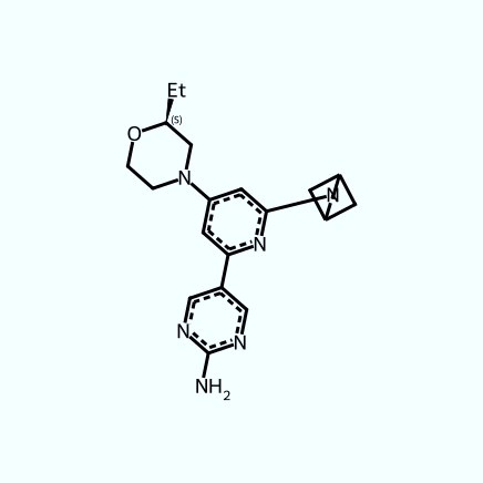 CC[C@H]1CN(c2cc(-c3cnc(N)nc3)nc(N3CC4CC3C4)c2)CCO1